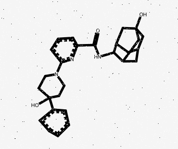 O=C(NC1C2CC3CC1CC(O)(C3)C2)c1cccc(N2CCC(O)(c3ccccc3)CC2)n1